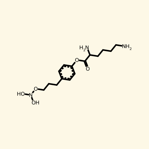 NCCCCC(N)C(=O)Oc1ccc(CCCON(O)O)cc1